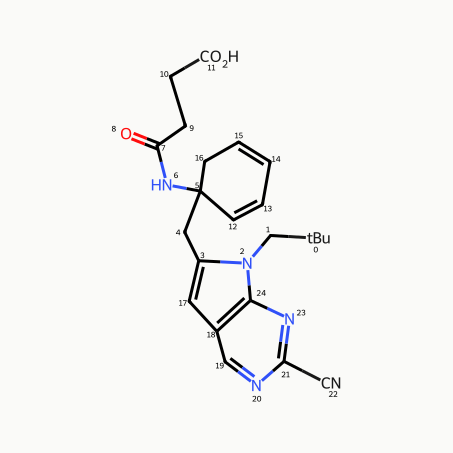 CC(C)(C)Cn1c(CC2(NC(=O)CCC(=O)O)C=CC=CC2)cc2cnc(C#N)nc21